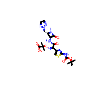 CC(C)(C)OC(=O)Nc1nc(C(=NOC(C)(C)C(=O)O)C(=O)N[C@@H]2C(=O)N[C@H]2Cn2nccn2)cs1